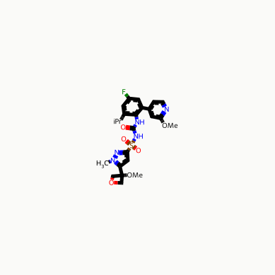 COc1cc(-c2cc(F)cc(C(C)C)c2NC(=O)NS(=O)(=O)c2cc(C3(OC)COC3)n(C)n2)ccn1